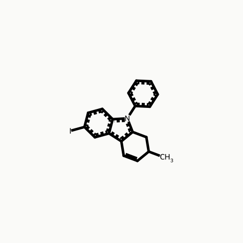 CC1C=Cc2c(n(-c3ccccc3)c3ccc(I)cc23)C1